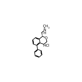 CNC[C@H]1OCCc2c(-c3ccccc3)cccc21.Cl